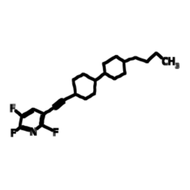 CCCCC1CCC(C2CCC(C#Cc3cc(F)c(F)nc3F)CC2)CC1